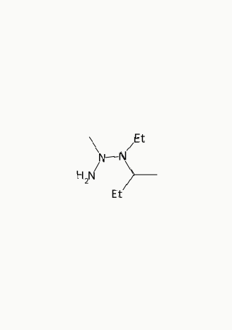 CCC(C)N(CC)N(C)N